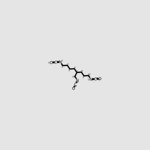 O=C=N[CH]CCCC(CC[CH]N=C=O)CN=C=O